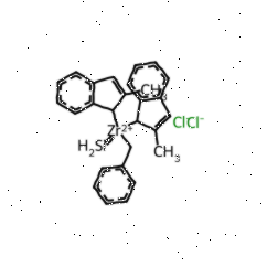 CC1=Cc2ccccc2[CH]1[Zr+2](=[SiH2])([CH2]c1ccccc1)[CH]1C(C)=Cc2ccccc21.[Cl-].[Cl-]